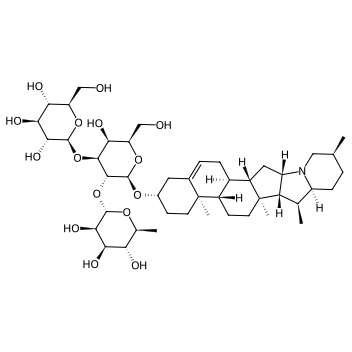 C[C@H]1CC[C@H]2[C@@H](C)[C@H]3[C@H](C[C@H]4[C@@H]5CC=C6C[C@@H](O[C@@H]7O[C@H](CO)[C@H](O)[C@H](O[C@@H]8O[C@H](CO)[C@@H](O)[C@H](O)[C@H]8O)[C@H]7O[C@@H]7O[C@@H](C)[C@H](O)[C@@H](O)[C@H]7O)CC[C@]6(C)[C@H]5CC[C@]34C)N2C1